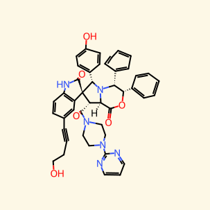 O=C1O[C@@H](c2ccccc2)[C@@H](c2ccccc2)N2[C@@H](c3ccc(O)cc3)[C@]3(C(=O)Nc4ccc(C#CCCO)cc43)[C@@H](C(=O)N3CCN(c4ncccn4)CC3)[C@H]12